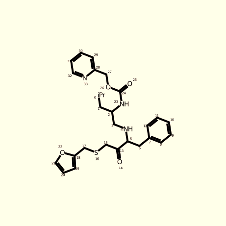 CC(C)CC(CNC(Cc1ccccc1)C(=O)CSCc1ccco1)NC(=O)OCc1ccccn1